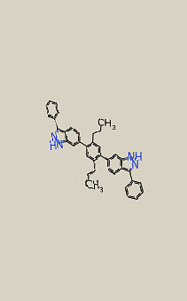 CCCc1cc(-c2ccc3c(-c4ccccc4)n[nH]c3c2)c(CCC)cc1-c1ccc2c(-c3ccccc3)n[nH]c2c1